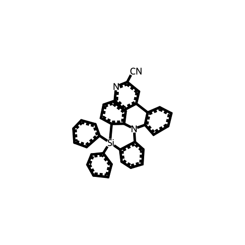 N#Cc1cc(-c2ccccc2N2c3ccccc3[Si](c3ccccc3)(c3ccccc3)c3ccccc32)ccn1